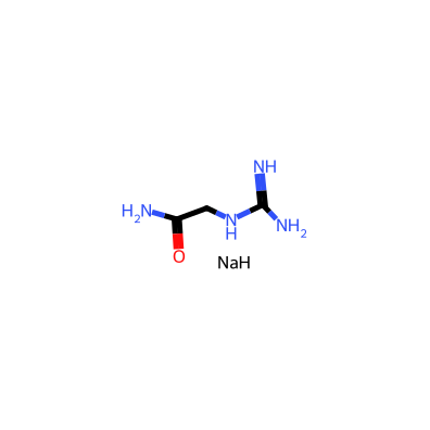 N=C(N)NCC(N)=O.[NaH]